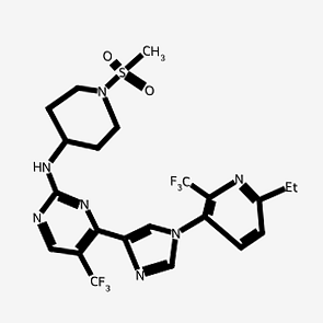 CCc1ccc(-n2cnc(-c3nc(NC4CCN(S(C)(=O)=O)CC4)ncc3C(F)(F)F)c2)c(C(F)(F)F)n1